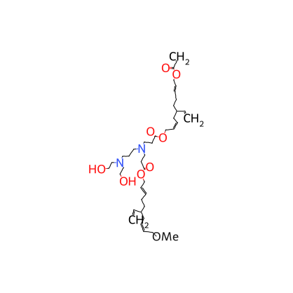 C=CC(=O)OC/C=C/CCC(C=C)C/C=C\COC(=O)CCN(CCCN(CCO)CCO)CCC(=O)OC/C=C/CCC(C=C)C/C=C\COC